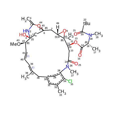 C=C1N[C@]2(O)C[C@@H](C[C@@H]3O[C@@]3(C)[C@@H](OC(=O)[C@@H](C)N(C)C(=O)C(C)(C)C)CC(=O)N(C)c3cc(cc(C)c3Cl)C/C(C)=C/C=C/[C@H]2OC)O1